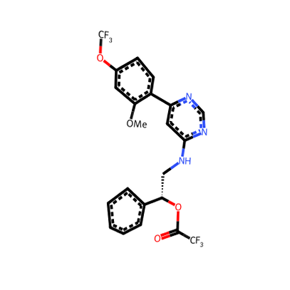 COc1cc(OC(F)(F)F)ccc1-c1cc(NC[C@H](OC(=O)C(F)(F)F)c2ccccc2)ncn1